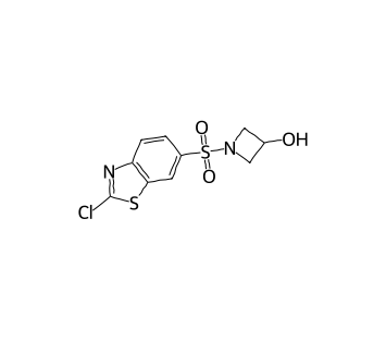 O=S(=O)(c1ccc2nc(Cl)sc2c1)N1CC(O)C1